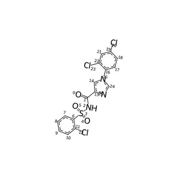 O=C(NS(=O)(=O)c1ccccc1Cl)c1cn(-c2ccc(Cl)cc2Cl)cn1